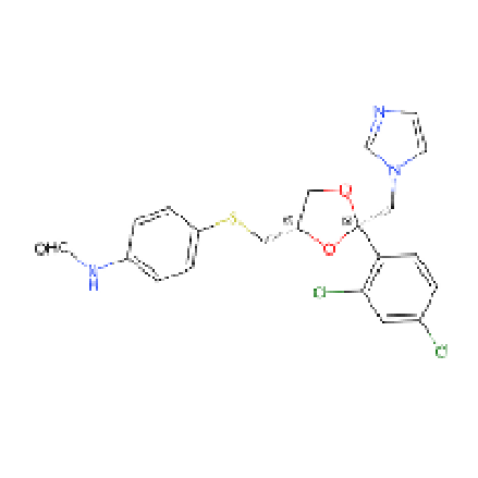 O=CNc1ccc(SC[C@@H]2CO[C@@](Cn3ccnc3)(c3ccc(Cl)cc3Cl)O2)cc1